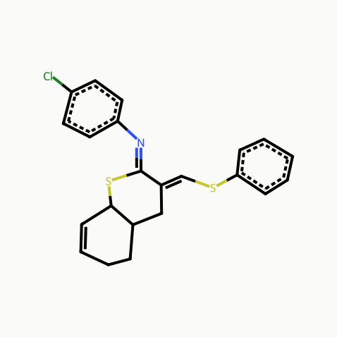 Clc1ccc(/N=C2\SC3C=CCCC3C\C2=C/Sc2ccccc2)cc1